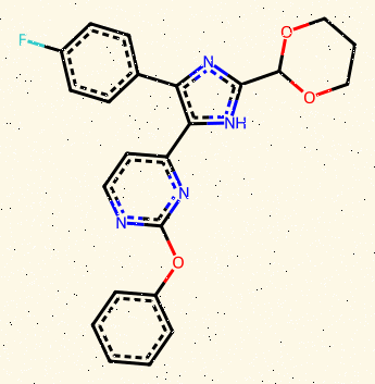 Fc1ccc(-c2nc(C3OCCCO3)[nH]c2-c2ccnc(Oc3ccccc3)n2)cc1